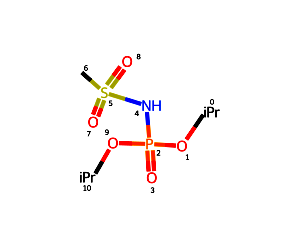 CC(C)OP(=O)(NS(C)(=O)=O)OC(C)C